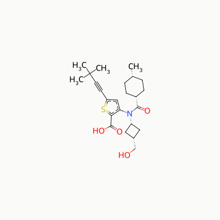 CC(C)(C)C#Cc1cc(N(C(=O)[C@H]2CC[C@@H](C)CC2)[C@H]2C[C@@H](CO)C2)c(C(=O)O)s1